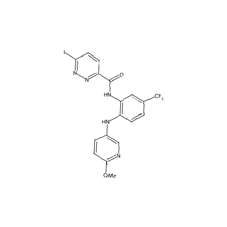 COc1ccc(Nc2ccc(C(F)(F)F)cc2NC(=O)c2ccc(I)nn2)cn1